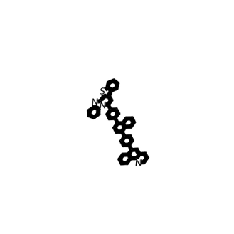 c1cnc2c(c1)cc(-c1ccc(-c3ccc(-c4ccc(-c5cc6c7ccccc7sc6c6nc7ccccc7n56)cc4)c4ccccc34)cc1)c1ccccc12